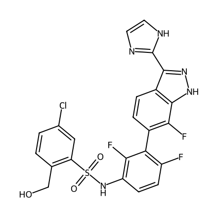 O=S(=O)(Nc1ccc(F)c(-c2ccc3c(-c4ncc[nH]4)n[nH]c3c2F)c1F)c1cc(Cl)ccc1CO